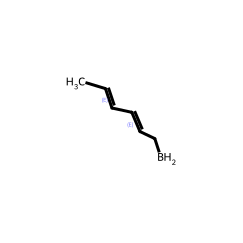 BC/C=C/C=C/C